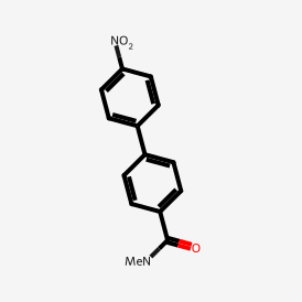 CNC(=O)c1ccc(-c2ccc([N+](=O)[O-])cc2)cc1